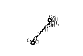 Cc1c([C@@H](O)CNCCCCCCOCCOCc2c(Cl)cccc2Cl)ccc(O)c1O